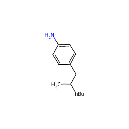 CCCCC(C)Cc1ccc(N)cc1